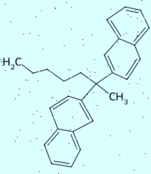 [CH2]CCCCC(C)(c1ccc2ccccc2c1)c1ccc2ccccc2c1